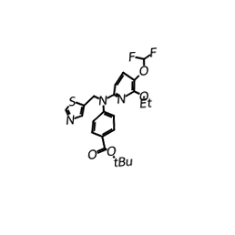 CCOc1nc(N(Cc2cncs2)c2ccc(C(=O)OC(C)(C)C)cc2)ccc1OC(F)F